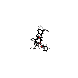 Cc1cc2c(cc1C)C13c4c(cc(C)c(C)c41)C2C(C(=O)O)C3C(=O)OC1(C)CCCC1